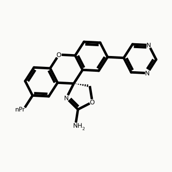 CCCc1ccc2c(c1)[C@@]1(COC(N)=N1)c1cc(-c3cncnc3)ccc1O2